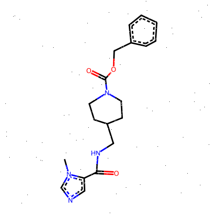 Cn1cncc1C(=O)NCC1CCN(C(=O)OCc2ccccc2)CC1